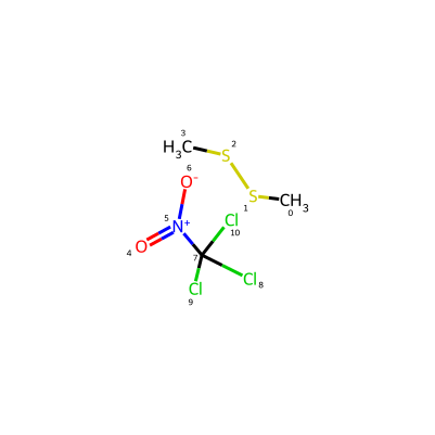 CSSC.O=[N+]([O-])C(Cl)(Cl)Cl